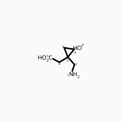 Cl.NCC1(CC(=O)O)CC1